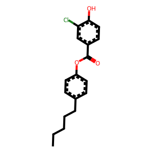 CCCCCc1ccc(OC(=O)c2ccc(O)c(Cl)c2)cc1